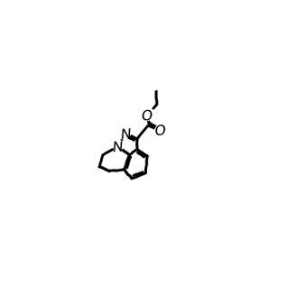 CCOC(=O)c1nn2c3c(cccc13)CCC2